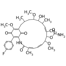 COC1=C2CC(C)CC(OC)C(O)C(C)C=C(C)C(OC(N)=O)C(OC)C=CC=C(C)C(=O)NC(=C(c3ccc(F)cc3)C1=O)C2=O